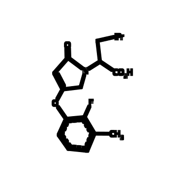 Cc1cccc(OC2=CC(=O)N(C(CC(C)C)C(=O)O)C2)c1F